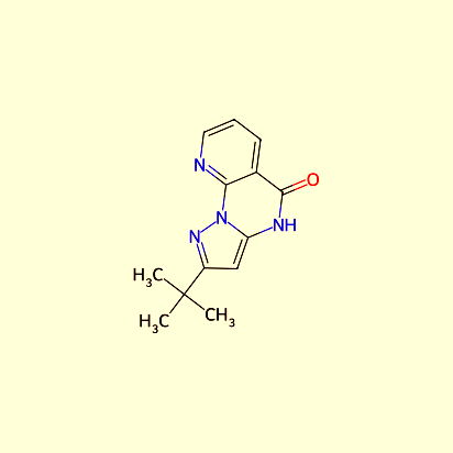 CC(C)(C)c1cc2[nH]c(=O)c3cccnc3n2n1